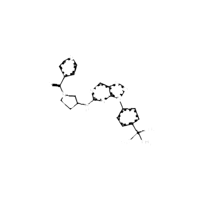 CC(C)(C)c1ccc(-n2nnc3cnc(NC4CCN(C(=O)c5ccncc5)C4)nc32)cc1